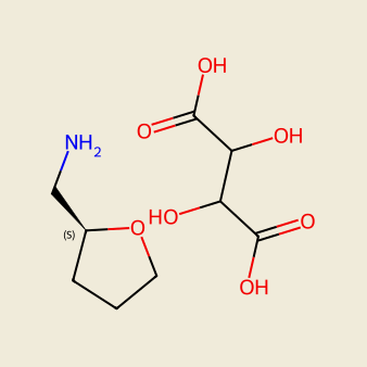 NC[C@@H]1CCCO1.O=C(O)C(O)C(O)C(=O)O